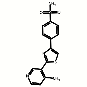 Cc1ccncc1-c1nc(-c2ccc(S(N)(=O)=O)cc2)cs1